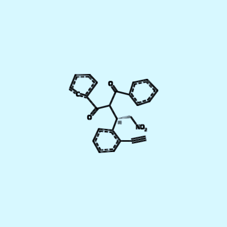 C#Cc1ccccc1[C@@H](C[N+](=O)[O-])C(C(=O)c1ccccc1)C(=O)c1ccccc1